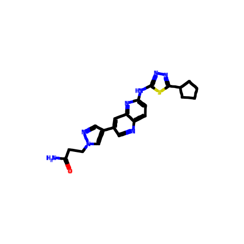 NC(=O)CCn1cc(-c2cnc3ccc(Nc4nnc(C5CCCC5)s4)nc3c2)cn1